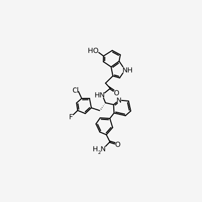 NC(=O)c1cccc(-c2cccnc2[C@H](Cc2cc(F)cc(Cl)c2)NC(=O)Cc2c[nH]c3ccc(O)cc23)c1